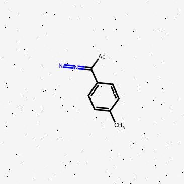 CC(=O)C(=[N+]=[N-])c1ccc(C)cc1